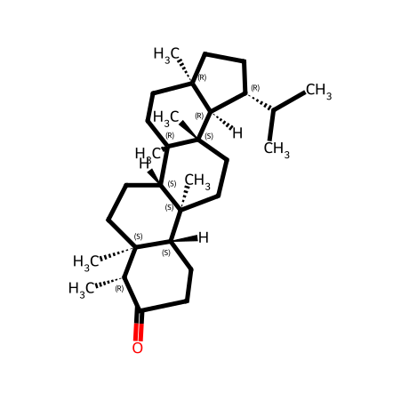 CC(C)[C@H]1CC[C@]2(C)CC[C@]3(C)[C@H]4CC[C@@]5(C)[C@@H](CCC(=O)[C@@H]5C)[C@]4(C)CC[C@@]3(C)[C@H]12